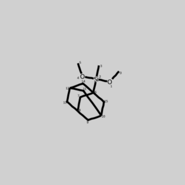 CO[Si](C)(OC)C12CC3CC(CC(C3)C1)C2